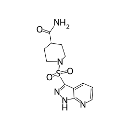 NC(=O)C1CCN(S(=O)(=O)c2n[nH]c3ncccc23)CC1